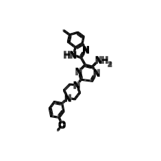 COc1cccc(N2CCN(c3cnc(N)c(-c4nc5ccc(C)cc5[nH]4)n3)CC2)c1